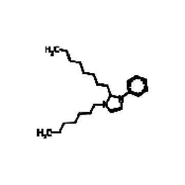 CCCCCCCCC1N(CCCCCCC)C=CN1c1ccccc1